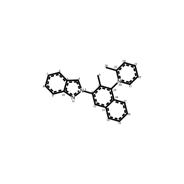 Cc1c(-n2cc3ccccc3n2)cc2ccccc2c1-[n+]1ccccc1C